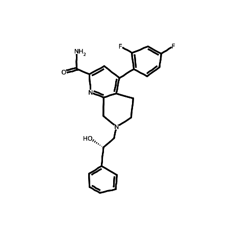 NC(=O)c1cc(-c2ccc(F)cc2F)c2c(n1)CN(C[C@@H](O)c1ccccc1)CC2